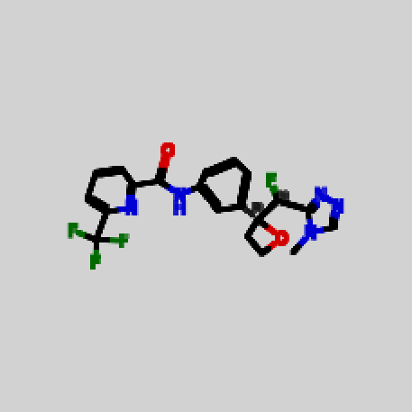 Cn1cnnc1[C@H](F)[C@]1(c2cccc(NC(=O)c3cccc(C(F)(F)F)n3)c2)CCO1